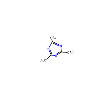 CC(=O)Oc1nc(OC(C)=O)nc(OC(C)=O)n1